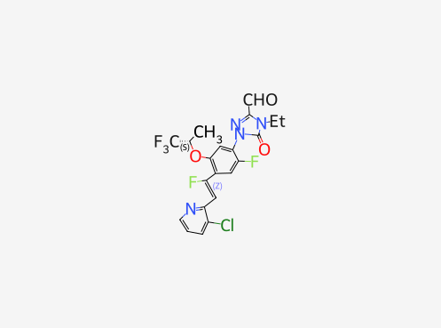 CCn1c(C=O)nn(-c2cc(O[C@@H](C)C(F)(F)F)c(/C(F)=C/c3ncccc3Cl)cc2F)c1=O